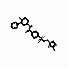 Cc1ncn(CCS(=O)(=O)c2ccc(C(=O)Nc3ccc(I)c(-c4ccccn4)c3)cc2)n1